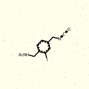 CC(=O)NCc1ccc(CN=C=O)cc1I